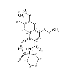 CCCCc1c(CCC)cc(C(=O)NC2(C(=O)O)CCCCC2)c(=O)n1CCCC